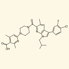 Cc1cc2c(-c3ccc(Cl)c(F)c3)cn(CC(C)C)c2nc1C(=O)N1CCN(c2cc(C)c(C(=O)O)c(C)n2)CC1